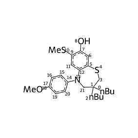 CCCCC1(CCCC)CSc2cc(O)c(SC)cc2N(c2ccc(OC)cc2)C1